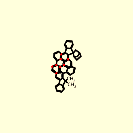 CC1(C)c2ccccc2-c2cccc(-c3ccccc3N(c3ccc4c(c3)C3(CC5CCC3C5)c3ccccc3-4)c3ccccc3-c3ccccc3-c3ccccc3-c3ccccc3)c21